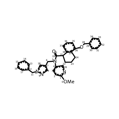 COc1ccc(N(Cc2cnn(Cc3ccccc3)c2)C(=O)C2CCCc3c(OCc4ccccc4)cccc32)cn1